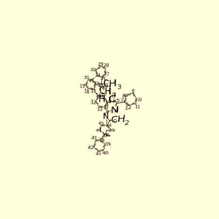 C=C(/N=C(\N=C(/C)c1ccccc1)c1ccc(-c2cccc3c2C(C)(C)c2ccccc2-3)cc1)c1ccc(-c2ccccc2)cc1